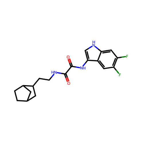 O=C(NCCC1CC2CCC1C2)C(=O)Nc1c[nH]c2cc(F)c(F)cc12